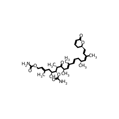 CC(=C/[C@H](C)C/C=C/C(C)=C/[C@@H](C)C(=O)[C@@H](C)[C@H](OC(N)=O)[C@@H](C)C/C(C)=C/COC(N)=O)/C=C/[C@H]1CC=CC(=O)O1